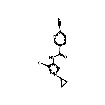 N#Cc1ccc(C(=O)Nc2cn(C3CC3)nc2Cl)cn1